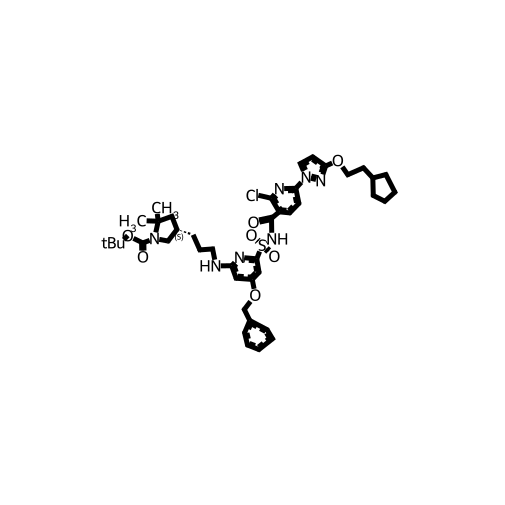 CC(C)(C)OC(=O)N1C[C@@H](CCCNc2cc(OCc3ccccc3)cc(S(=O)(=O)NC(=O)c3ccc(-n4ccc(OCCC5CCCC5)n4)nc3Cl)n2)CC1(C)C